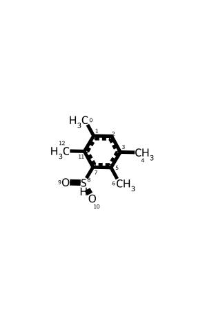 Cc1cc(C)c(C)c([SH](=O)=O)c1C